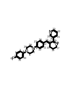 Fc1ccc(N2CCN(c3ccc(C=C4CCCN=C4c4cccnc4)cc3)CC2)cc1